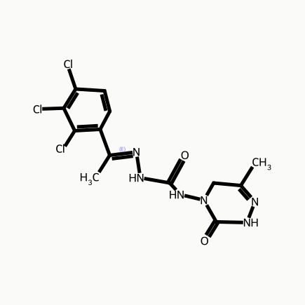 CC1=NNC(=O)N(NC(=O)N/N=C(\C)c2ccc(Cl)c(Cl)c2Cl)C1